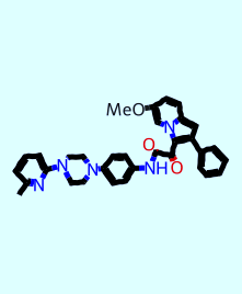 COc1ccc2cc(-c3ccccc3)c(C(=O)C(=O)Nc3ccc(N4CCN(c5cccc(C)n5)CC4)cc3)n2c1